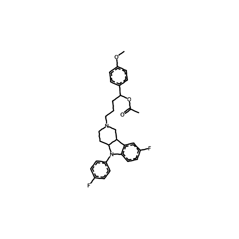 COc1ccc(C(CCCN2CCC3C(C2)c2cc(F)ccc2N3c2ccc(F)cc2)OC(C)=O)cc1